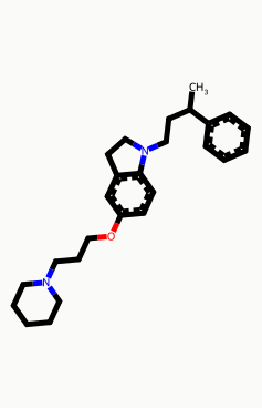 CC(CCN1CCc2cc(OCCCN3CCCCC3)ccc21)c1ccccc1